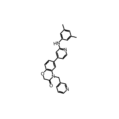 Cc1cc(C)cc(Nc2cc(-c3ccc4c(c3)N(Cc3cccnc3)C(=O)CO4)ccn2)c1